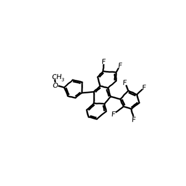 COc1ccc(-c2c3ccccc3c(-c3c(F)c(F)cc(F)c3F)c3cc(F)c(F)cc23)cc1